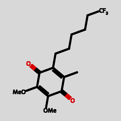 COC1=C(OC)C(=O)C(CCCCCC(F)(F)F)=C(C)C1=O